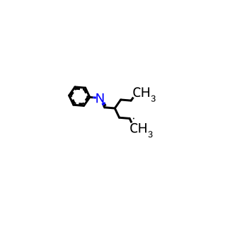 C[CH]CC(C=Nc1ccccc1)CCC